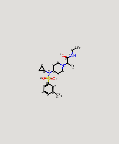 CCC(C(=O)NCC(C)C)N1CCC(N(C2CC2)S(=O)(=O)c2cccc(C(F)(F)F)c2)CC1